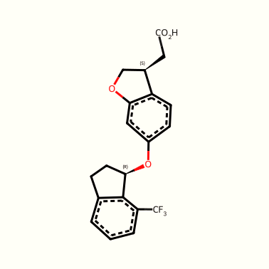 O=C(O)C[C@@H]1COc2cc(O[C@@H]3CCc4cccc(C(F)(F)F)c43)ccc21